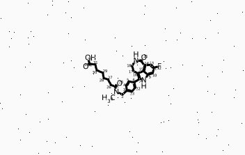 CN(Cc1ccc(-c2[nH]c3cc(F)cc4c3c2CCNC4=O)cc1)C(=O)CCCCCCC(=O)O